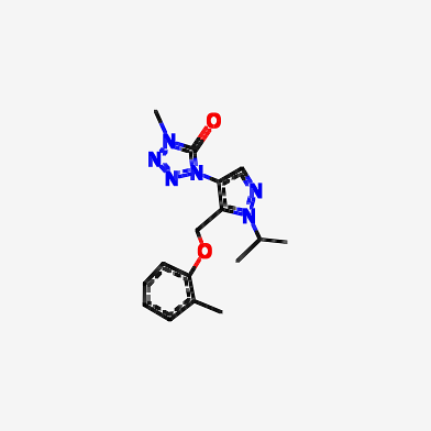 Cc1ccccc1OCc1c(-n2nnn(C)c2=O)cnn1C(C)C